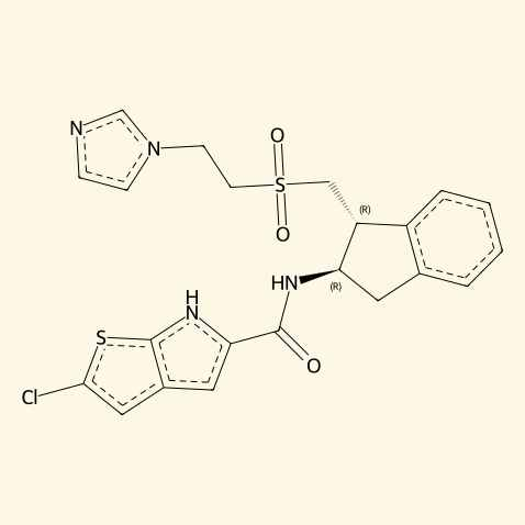 O=C(N[C@@H]1Cc2ccccc2[C@H]1CS(=O)(=O)CCn1ccnc1)c1cc2cc(Cl)sc2[nH]1